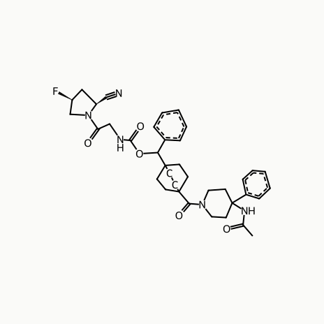 CC(=O)NC1(c2ccccc2)CCN(C(=O)C23CCC(C(OC(=O)NCC(=O)N4C[C@@H](F)C[C@H]4C#N)c4ccccc4)(CC2)CC3)CC1